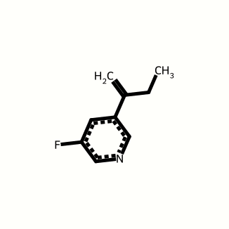 C=C(CC)c1cncc(F)c1